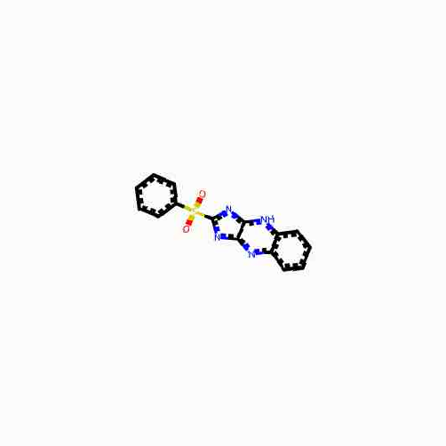 O=S(=O)(c1ccccc1)c1nc2nc3ccccc3[nH]c-2n1